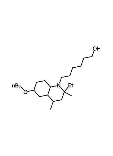 CCCCOC1CCC2C(C1)C(C)CC(C)(CC)N2CCCCCCO